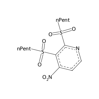 CCCCCS(=O)(=O)c1nccc([N+](=O)[O-])c1S(=O)(=O)CCCCC